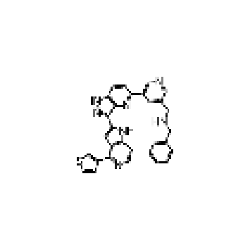 c1ccc(CNCc2cncc(-c3ccc4[nH]nc(-c5cc6c(-c7ccsc7)nccc6[nH]5)c4n3)c2)cc1